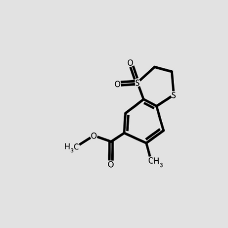 COC(=O)c1cc2c(cc1C)SCCS2(=O)=O